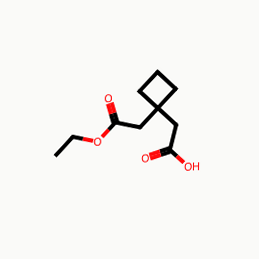 CCOC(=O)CC1(CC(=O)O)CCC1